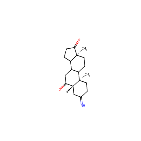 C[C@]12CCC3C(CC(=O)[C@H]4CC(=N)CC[C@]34C)C1CCC2=O